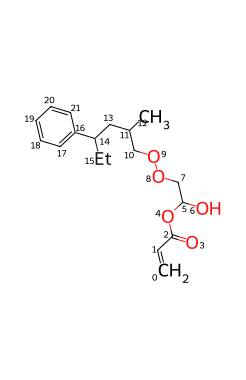 C=CC(=O)OC(O)COOCC(C)CC(CC)c1ccccc1